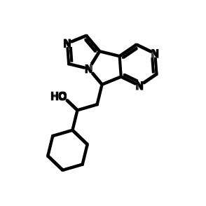 OC(CC1c2ncncc2-c2cncn21)C1CCCCC1